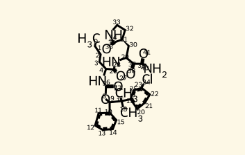 CCCCC(NC(=O)OC(c1ccccc1)C(C)(C)c1cccc(Cl)c1)C(=O)NC(C[C@@H]1CCNC1=O)C(=O)C(N)=O